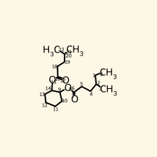 CCC(C)CCC(=O)OC1CCCCC1OC(=O)CCC(C)C